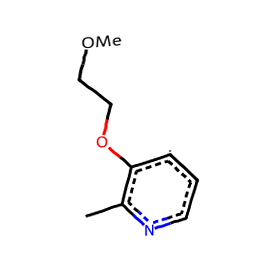 COCCOc1[c]ccnc1C